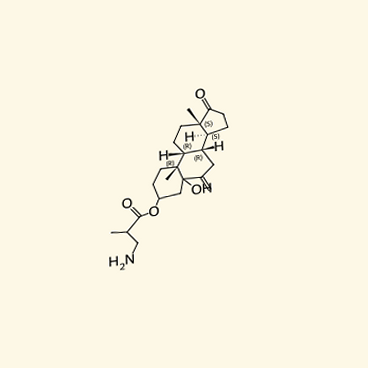 C=C1C[C@@H]2[C@@H](CC[C@]3(C)C(=O)CC[C@@H]23)[C@@]2(C)CCC(OC(=O)C(C)CN)CC12O